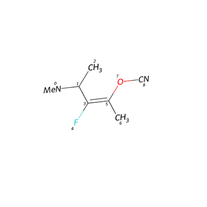 CNC(C)/C(F)=C(/C)OC#N